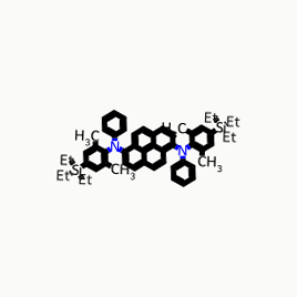 CC[Si](CC)(CC)c1cc(C)c(N(c2ccccc2)c2ccc3ccc4c(N(c5ccccc5)c5c(C)cc([Si](CC)(CC)CC)cc5C)ccc5ccc2c3c54)c(C)c1